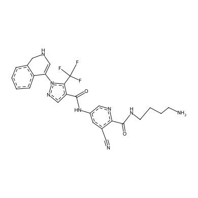 N#Cc1cc(NC(=O)c2cnn(C3=CNCc4ccccc43)c2C(F)(F)F)cnc1C(=O)NCCCCN